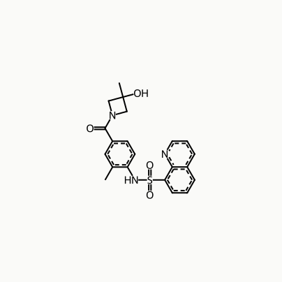 Cc1cc(C(=O)N2CC(C)(O)C2)ccc1NS(=O)(=O)c1cccc2cccnc12